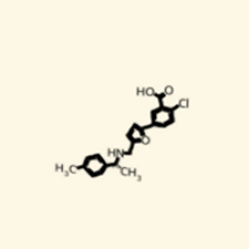 Cc1ccc([C@@H](C)NCc2ccc(-c3ccc(Cl)c(C(=O)O)c3)o2)cc1